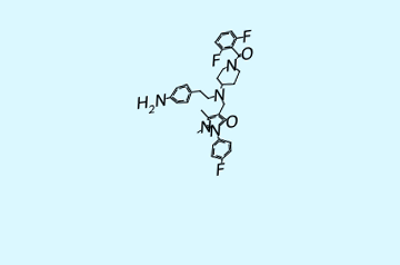 Cc1c(CN(CCc2ccc(N)cc2)C2CCN(C(=O)c3c(F)cccc3F)CC2)c(=O)n(-c2ccc(F)cc2)n1C